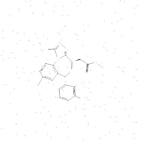 COc1cccc([C@H]2S[C@H](CC(=O)OC(C)C)c3nnc(C(F)(F)F)n3-c3ccc(Cl)cc32)c1OC